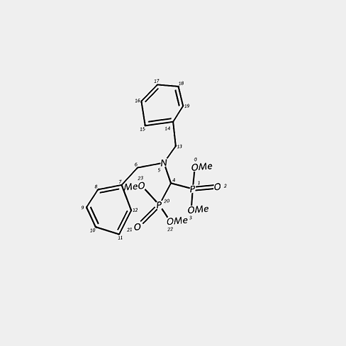 COP(=O)(OC)C(N(Cc1ccccc1)Cc1ccccc1)P(=O)(OC)OC